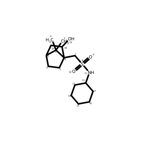 CC1(C)C2CCC1(CS(=O)(=O)NC1CCCCC1)C(O)C2